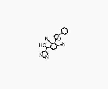 N#Cc1ccc(C(O)c2cncnc2)c(C#N)c1-c1ccc(-c2ccccc2)o1